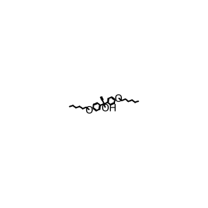 C#CC(O)(c1ccc(OCCCCCC)cc1)c1ccc(OCCCCCC)cc1